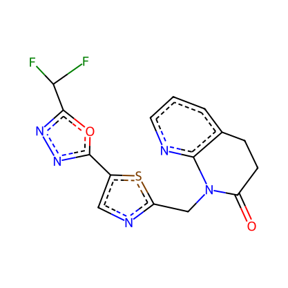 O=C1CCc2cccnc2N1Cc1ncc(-c2nnc(C(F)F)o2)s1